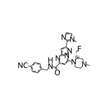 CN1CCN(c2cc(C(=O)NCc3ccc(C#N)cc3)nc3cc(-c4nccn4C)nn23)[C@H](CF)C1